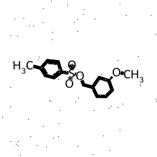 CO[C@H]1CCCC(COS(=O)(=O)c2ccc(C)cc2)C1